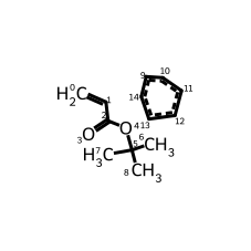 C=CC(=O)OC(C)(C)C.c1ccccc1